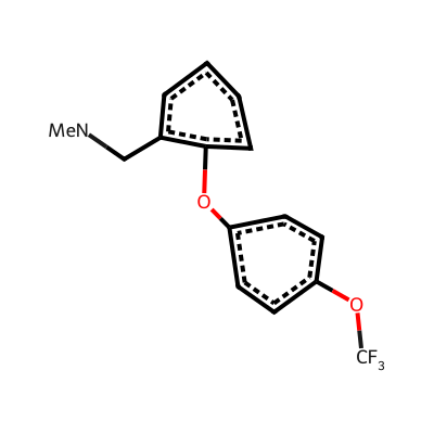 CNCc1ccccc1Oc1ccc(OC(F)(F)F)cc1